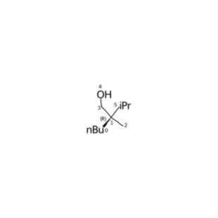 CCCC[C@@](C)(CO)C(C)C